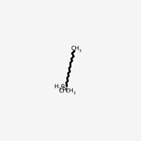 CCCCCCCCCCCCCCCC[Si](C)(C)Cl